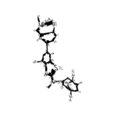 CN(c1nc2c(F)cc(-c3ccc4nn(C)cc4n3)cc2s1)[C@@H]1C[C@H]2CC[C@@H](C1)N2